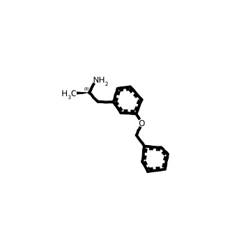 C[C@@H](N)Cc1cccc(OCc2ccccc2)c1